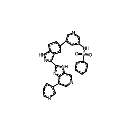 O=S(=O)(Nc1cncc(-c2ccc3[nH]nc(-c4nc5c(-c6cccnc6)cncc5[nH]4)c3c2)c1)c1ccccc1